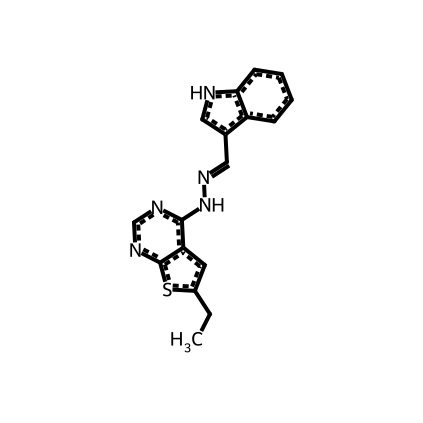 CCc1cc2c(NN=Cc3c[nH]c4ccccc34)ncnc2s1